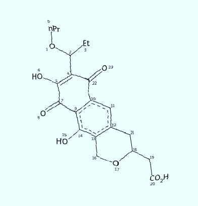 CCCOC(CC)C1=C(O)C(=O)c2c(cc3c(c2O)COC(CC(=O)O)C3)C1=O